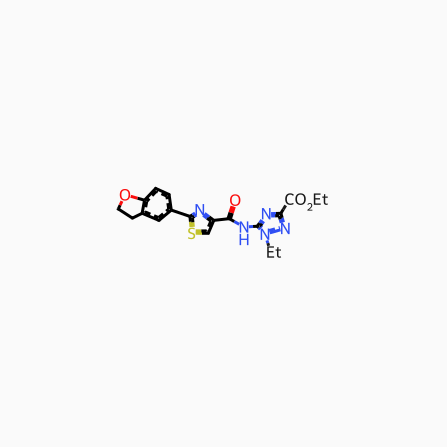 CCOC(=O)c1nc(NC(=O)c2csc(-c3ccc4c(c3)CCO4)n2)n(CC)n1